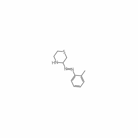 Cc1ccccc1N=NC1CSCCN1